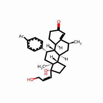 CC(=O)c1ccc([C@H]2C[C@@]3(C)[C@@H](CC[C@@]3(O)/C=C\CO)[C@@H]3C[C@H](C)C4=CC(=O)CC[C@@H]4[C@H]32)cc1